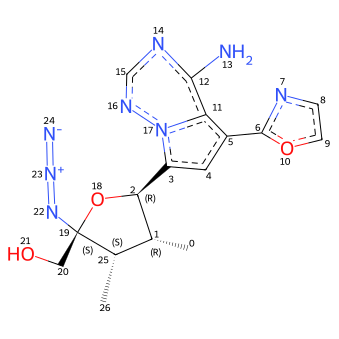 C[C@H]1[C@H](c2cc(-c3ncco3)c3c(N)ncnn23)O[C@@](CO)(N=[N+]=[N-])[C@H]1C